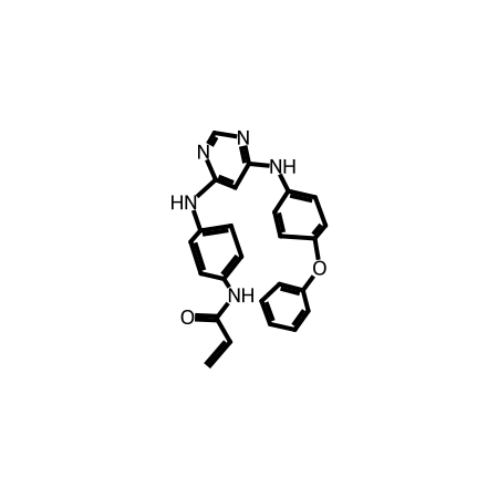 C=CC(=O)Nc1ccc(Nc2cc(Nc3ccc(Oc4ccccc4)cc3)ncn2)cc1